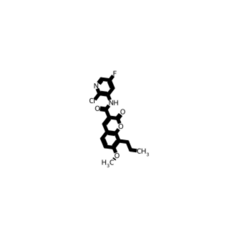 CCCc1c(OC)ccc2cc(C(=O)Nc3cc(F)cnc3Cl)c(=O)oc12